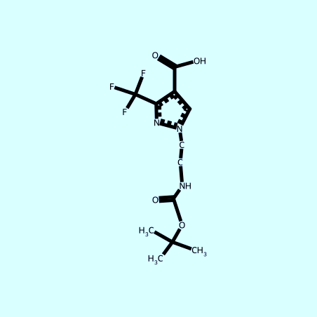 CC(C)(C)OC(=O)NCCn1cc(C(=O)O)c(C(F)(F)F)n1